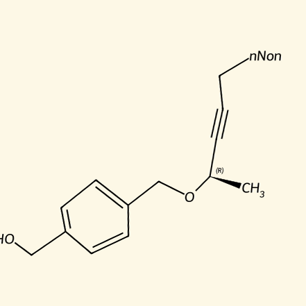 CCCCCCCCCCC#C[C@@H](C)OCc1ccc(CO)cc1